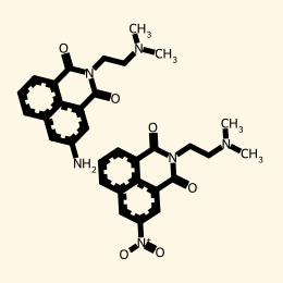 CN(C)CCN1C(=O)c2cccc3cc(N)cc(c23)C1=O.CN(C)CCN1C(=O)c2cccc3cc([N+](=O)[O-])cc(c23)C1=O